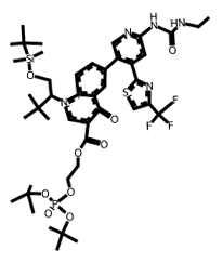 CCNC(=O)Nc1cc(-c2nc(C(F)(F)F)cs2)c(-c2ccc3c(c2)c(=O)c(C(=O)OCCOP(=O)(OC(C)(C)C)OC(C)(C)C)cn3C(CO[Si](C)(C)C(C)(C)C)C(C)(C)C)cn1